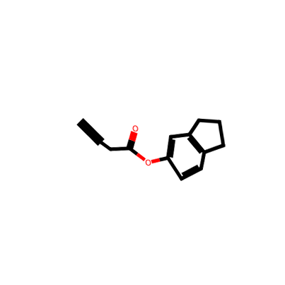 C#CCC(=O)Oc1ccc2c(c1)CCC2